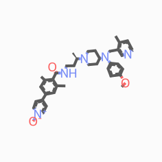 COc1ccc(N(Cc2cnccc2C)C2CCN([C@H](C)CCNC(=O)c3c(C)cc(-c4cc[n+]([O-])cc4)cc3C)CC2)cc1